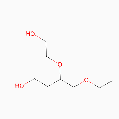 CCOCC(CCO)OCCO